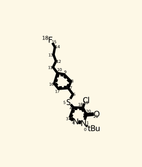 CC(C)(C)n1ncc(SCc2ccc(CCCC[18F])cc2)c(Cl)c1=O